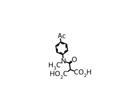 CC(=O)c1ccc(N(C)C(=O)C(C(=O)O)C(=O)O)cc1